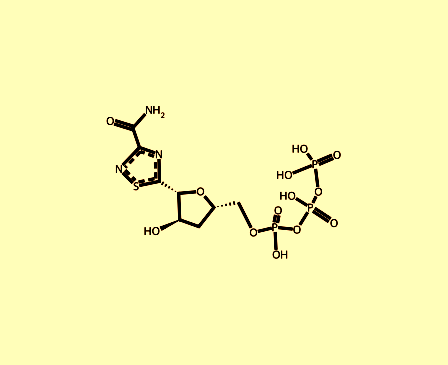 NC(=O)c1nsc([C@@H]2O[C@H](COP(=O)(O)OP(=O)(O)OP(=O)(O)O)C[C@H]2O)n1